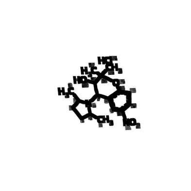 CC1CCC(C)N1C1c2cc([N+](=O)[O-])ccc2OC(C)(C)C1O.Cl